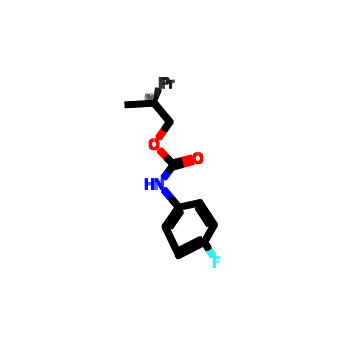 CC(C)[C@H](C)COC(=O)Nc1ccc(F)cc1